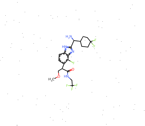 COCC(C(=O)NCC(F)(F)F)c1ccc2[nH]c([C@@H](N)C3CCC(F)(F)CC3)nc2c1F